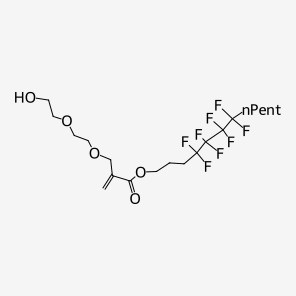 C=C(COCCOCCO)C(=O)OCCCC(F)(F)C(F)(F)C(F)(F)C(F)(F)CCCCC